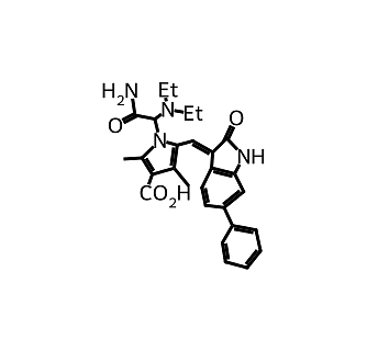 CCN(CC)C(C(N)=O)n1c(C)c(C(=O)O)c(C)c1C=C1C(=O)Nc2cc(-c3ccccc3)ccc21